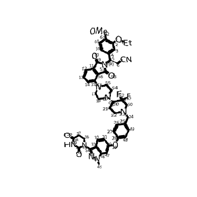 CCOc1cc([C@@H](CC#N)N2C(=O)c3cccc(N4CCN([C@H]5CCN(Cc6ccc(Oc7ccc8c(N9CCC(=O)NC9=O)nn(C)c8c7)cc6)CC5(F)F)CC4)c3C2=O)ccc1OC